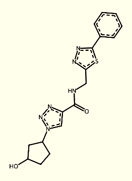 O=C(NCc1nnc(-c2ccccc2)s1)c1cn(C2CCC(O)C2)nn1